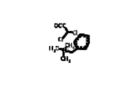 C[N+](C)(C)Cc1ccccc1.O=C([O-])C(Cl)Cl